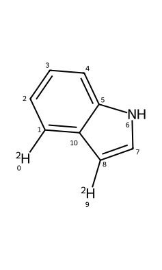 [2H]c1cccc2[nH]cc([2H])c12